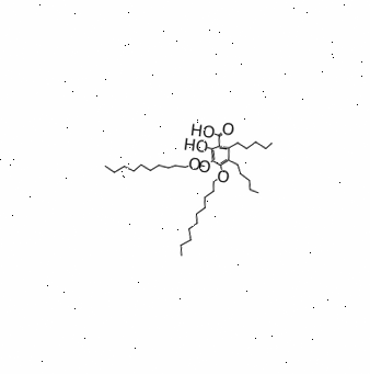 CCCCCCCCCCOOc1c(O)c(C(=O)O)c(CCCCC)c(CCCCC)c1OCCCCCCCCCC